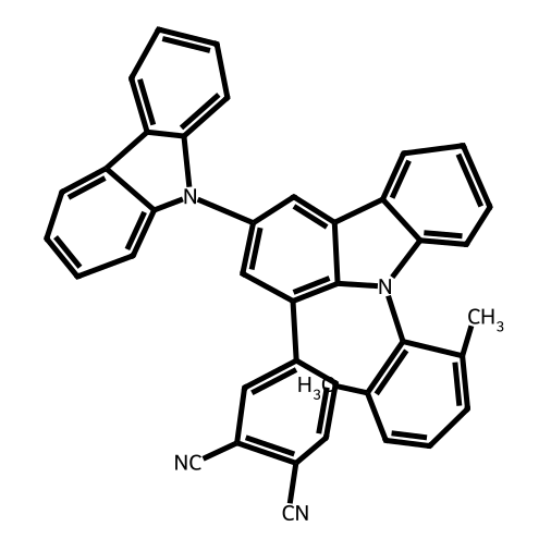 Cc1cccc(C)c1-n1c2ccccc2c2cc(-n3c4ccccc4c4ccccc43)cc(-c3ccc(C#N)c(C#N)c3)c21